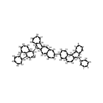 c1ccc(-n2c3ccccc3c3c4ccc(-c5ccc6cc7c(cc6c5)c5ccccc5n7-c5ncc6c7c(cccc57)-c5ccccc5-6)cc4ccc32)cc1